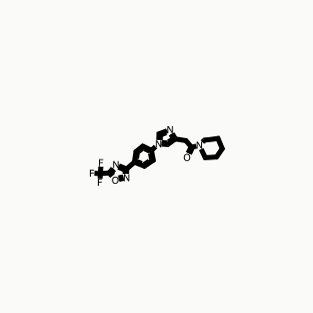 O=C(Cc1cn(-c2ccc(-c3noc(C(F)(F)F)n3)cc2)cn1)N1CCCCC1